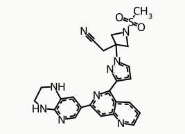 CS(=O)(=O)N1CC(CC#N)(n2ccc(-c3nc(-c4cnc5c(c4)NCCN5)cc4ncccc34)n2)C1